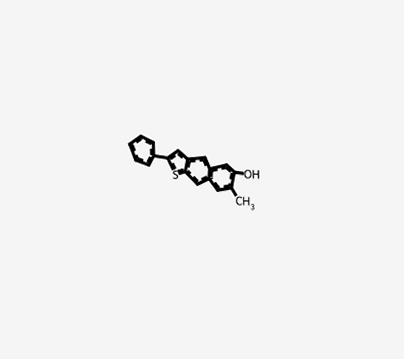 Cc1cc2cc3sc(-c4ccccc4)cc3cc2cc1O